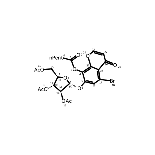 CCCCCC(=O)Oc1c(O[C@H]2O[C@H](COC(C)=O)[C@@H](OC(C)=O)[C@@H]2OC(C)=O)cc(Br)c2c(=O)ccoc12